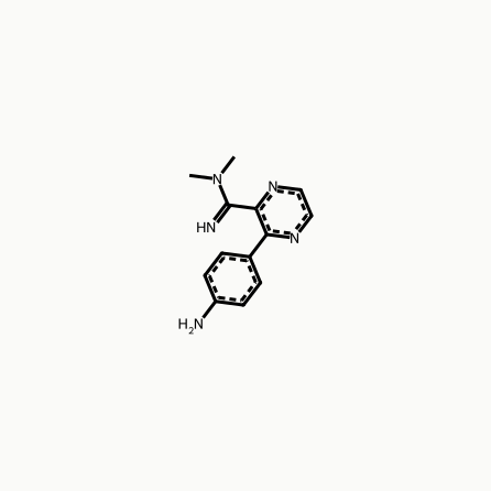 CN(C)C(=N)c1nccnc1-c1ccc(N)cc1